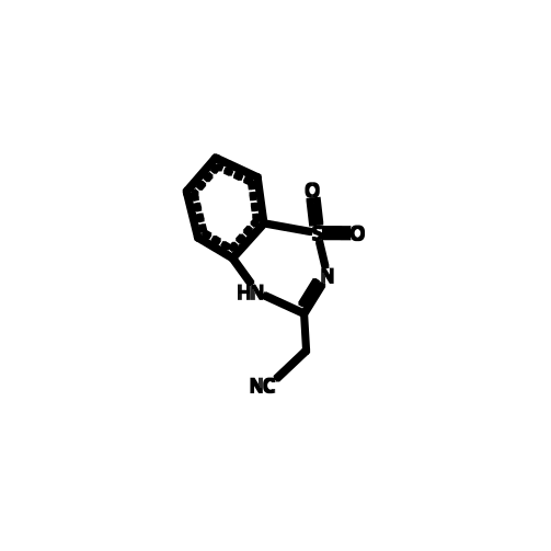 N#CCC1=NS(=O)(=O)c2ccccc2N1